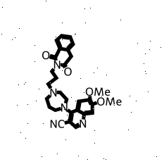 COc1cc2ncc(C#N)c(N3CCCN(CCCN4C(=O)Cc5ccccc5C4=O)CC3)c2cc1OC